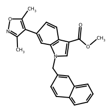 COC(=O)c1cn(Cc2ccc3ccccc3c2)c2cc(-c3c(C)noc3C)ccc12